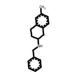 Cc1ccc2c(c1)CCC(NCc1ccccc1)C2